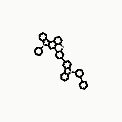 c1ccc(-c2cccc(-n3c4ccccc4c4cc(-c5ccc6c(c5)Oc5cccc7c5c-6cc5c7c6ccccc6n5-c5ccccc5)ccc43)c2)cc1